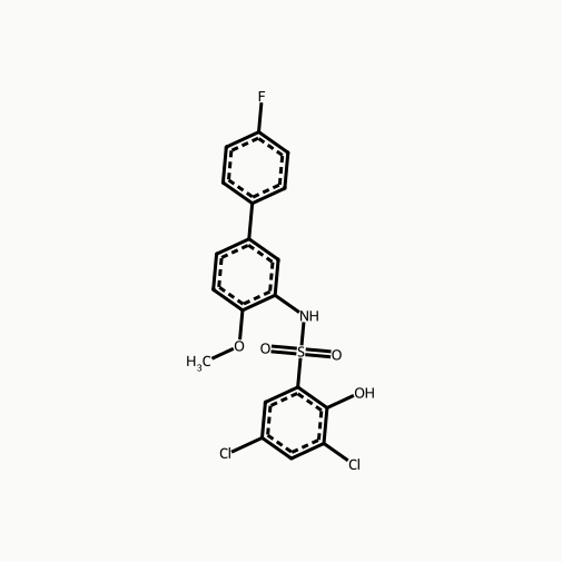 COc1ccc(-c2ccc(F)cc2)cc1NS(=O)(=O)c1cc(Cl)cc(Cl)c1O